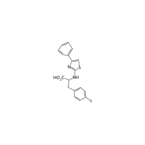 O=C(O)C(Cc1ccc(I)cc1)Nc1nc(-c2ccccc2)cs1